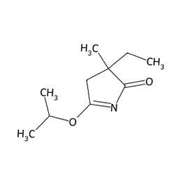 CCC1(C)CC(OC(C)C)=NC1=O